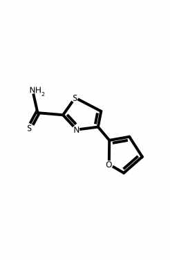 NC(=S)c1nc(-c2ccco2)cs1